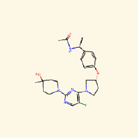 CC(=O)N[C@@H](C)c1ccc(O[C@@H]2CCN(c3nc(N4CCC(C)(O)CC4)ncc3F)C2)cc1